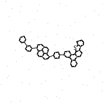 c1ccc(-c2cccc(-c3ccc4ccc5c(-c6ccc(-c7ccc8c(c7)c7ccccc7c7ccc9c%10ccccc%10sc9c78)cc6)ccc6ccc3c4c65)c2)cc1